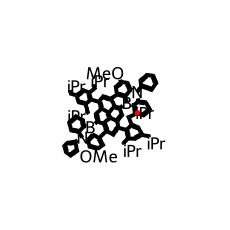 COc1cc2c3c(c1)N(c1ccccc1)c1ccccc1B3c1cc3c(-c4c(CC(C)C)cc(CC(C)C)cc4CC(C)C)cc4c5c(cc6c(-c7c(CC(C)C)cc(CC(C)C)cc7CC(C)C)cc-2c1c6c35)B1c2ccccc2N(c2ccccc2)c2cc(OC)cc-4c21